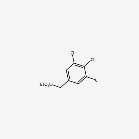 CCOC(=O)Cc1cc(Cl)c(Cl)c(Cl)c1